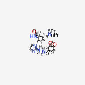 CCCN(CCC)CCc1cccc2c1CC(=O)N2.c1cnc(N2CCN(Cc3ccc4c(c3)OCO4)CC2)nc1